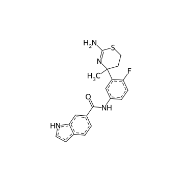 CC1(c2cc(NC(=O)c3ccc4cc[nH]c4c3)ccc2F)CCSC(N)=N1